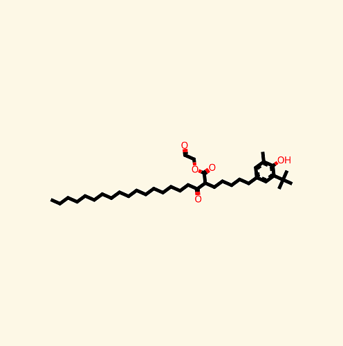 CCCCCCCCCCCCCCCCCC(=O)C(CCCCCc1cc(C)c(O)c(C(C)(C)C)c1)C(=O)OCC=O